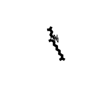 CC(C)CCCCCCC1N=NN(CCC(C)C)C1C